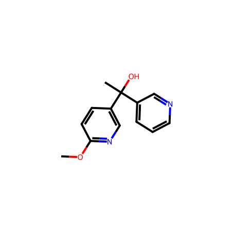 COc1ccc(C(C)(O)c2cccnc2)cn1